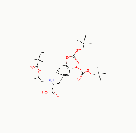 CCC(C)(C)C(=O)OC(C)CN[C@@H](Cc1ccc(OC(=O)OCC(C)(C)C)c(OC(=O)OCC(C)(C)C)c1)C(=O)O